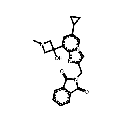 CN1CC(O)(c2cc(C3CC3)cn3cc(CN4C(=O)c5ccccc5C4=O)nc23)C1